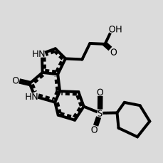 O=C(O)CCc1c[nH]c2c(=O)[nH]c3ccc(S(=O)(=O)C4CCCCC4)cc3c12